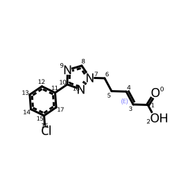 O=C(O)/C=C/CCn1cnc(-c2cccc(Cl)c2)n1